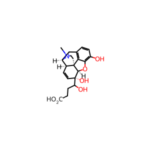 CN1CC[C@]23c4c5ccc(O)c4O[C@H]2[C@@](O)(C(O)CCC(=O)O)C=C[C@H]3[C@H]1C5